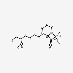 CCC(CCCCC1CCCC2C1C(=O)C2(Cl)Cl)OC